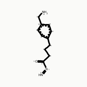 N=NC(=O)CCCc1ccc(CN)cc1